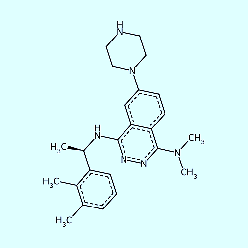 Cc1cccc([C@@H](C)Nc2nnc(N(C)C)c3ccc(N4CCNCC4)cc23)c1C